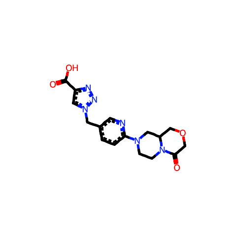 O=C(O)c1cn(Cc2ccc(N3CCN4C(=O)COCC4C3)nc2)nn1